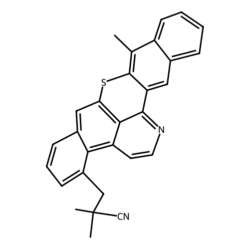 Cc1c2c(cc3ccccc13)-c1nccc3c1c(cc1cccc(CC(C)(C)C#N)c13)S2